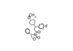 COC1CCC(C(CC(=O)N2C(=O)OCC2c2ccccc2)c2ccc(F)cc2)CC1